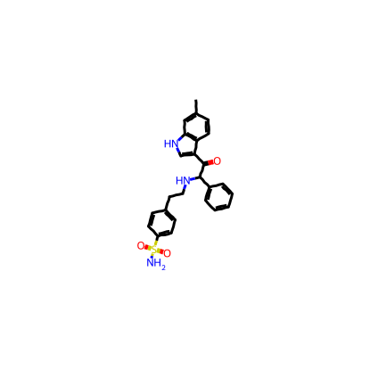 Cc1ccc2c(C(=O)C(NCCc3ccc(S(N)(=O)=O)cc3)c3ccccc3)c[nH]c2c1